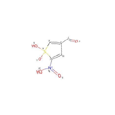 O=CC1=CS([O-])(O)C([N+](=O)O)=C1